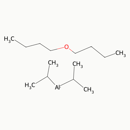 CCCCOCCCC.C[CH](C)[Al][CH](C)C